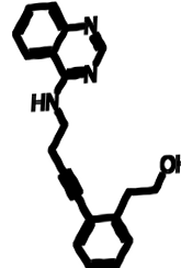 OCCc1ccccc1C#CCCNc1ncnc2ccccc12